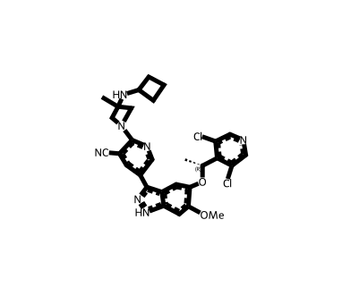 COc1cc2[nH]nc(-c3cnc(N4CC(C)(NC5CCC5)C4)c(C#N)c3)c2cc1O[C@H](C)c1c(Cl)cncc1Cl